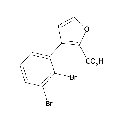 O=C(O)c1occc1-c1cccc(Br)c1Br